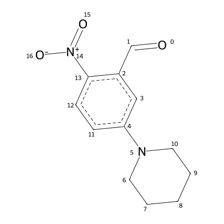 O=Cc1cc(N2CCCCC2)ccc1[N+](=O)[O-]